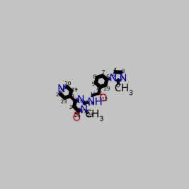 Cc1nccn1-c1cccc(C(=O)CNc2nc(-c3ccncc3)cc(=O)n2C)c1